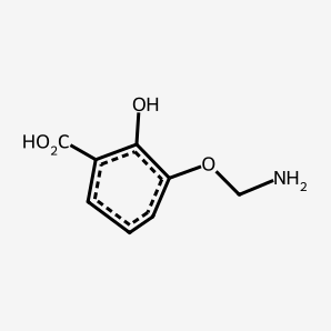 NCOc1cccc(C(=O)O)c1O